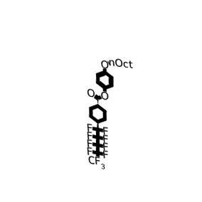 CCCCCCCCOc1ccc(OC(=O)[C@H]2CC[C@H](C(F)(F)C(F)(F)C(F)(F)C(F)(F)C(F)(F)F)CC2)cc1